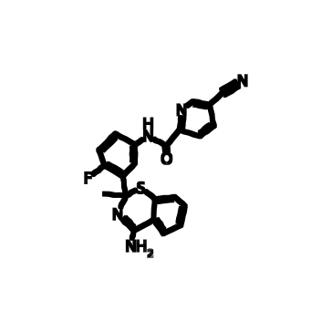 CC1(c2cc(NC(=O)c3ccc(C#N)cn3)ccc2F)N=C(N)c2ccccc2S1